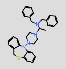 CC(N1CCN(N2c3ccccc3CSc3ccccc32)CC1)N(Cc1ccccc1)Cc1ccccc1